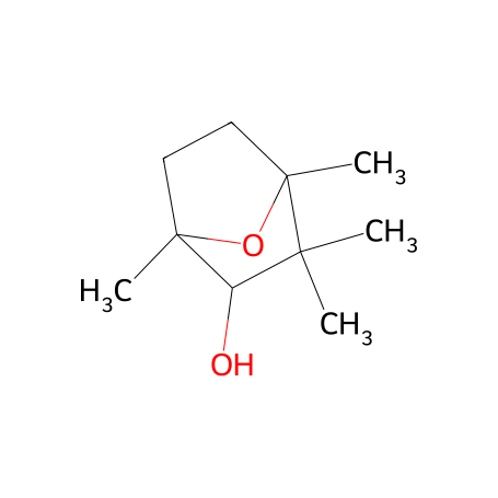 CC12CCC(C)(O1)C(C)(C)C2O